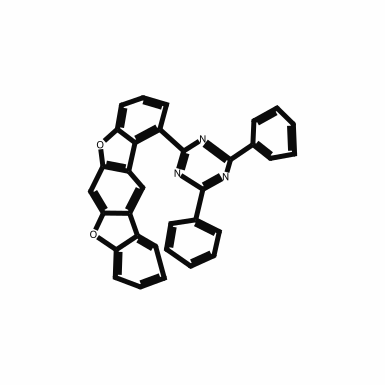 c1ccc(-c2nc(-c3ccccc3)nc(-c3cccc4oc5cc6oc7ccccc7c6cc5c34)n2)cc1